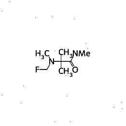 CNC(=O)C(C)(C)N(C)CF